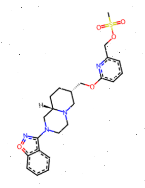 CS(=O)(=O)OCc1cccc(OC[C@H]2CC[C@H]3CN(c4noc5ccccc45)CCN3C2)n1